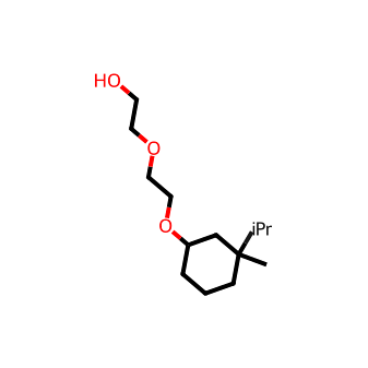 CC(C)C1(C)CCCC(OCCOCCO)C1